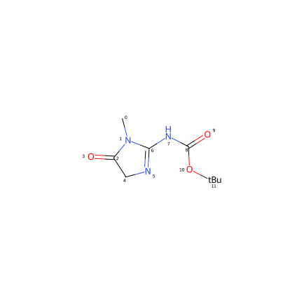 CN1C(=O)CN=C1NC(=O)OC(C)(C)C